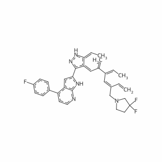 C=C/C(=C\C(=C/C)C(=C)/C=c1/c(-c2cc3c(-c4ccc(F)cc4)ccnc3[nH]2)n[nH]/c1=C/C)CN1CCC(F)(F)C1